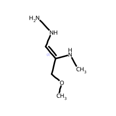 CN/C(=C\NN)COC